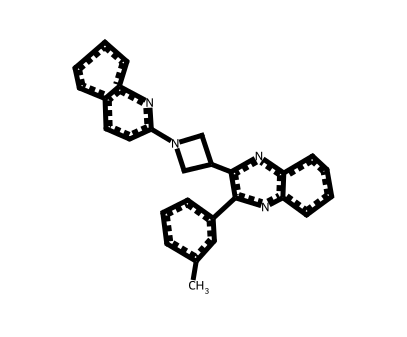 Cc1cccc(-c2nc3ccccc3nc2C2CN(c3ccc4ccccc4n3)C2)c1